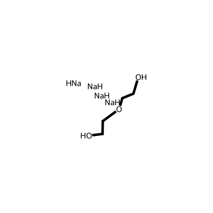 OCCOCCO.[NaH].[NaH].[NaH].[NaH]